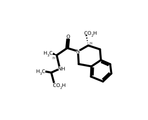 CC(N[C@@H](C)C(=O)N1Cc2ccccc2C[C@H]1C(=O)O)C(=O)O